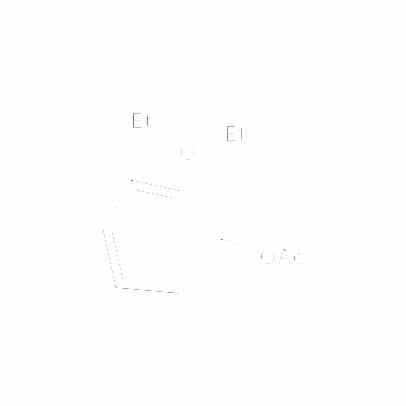 CC(=O)Oc1ccccc1.CCOCC